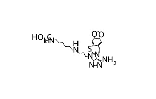 Nc1ncnc2c1nc(Sc1cc3c(cc1I)OCO3)n2CCCNCCCCCCNC(=O)O